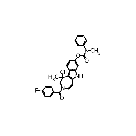 CN(C(=O)Oc1ccc2c3c([nH]c2c1)C=CN(C(=O)c1ccc(F)cc1)CC3(C)C)c1ccccc1